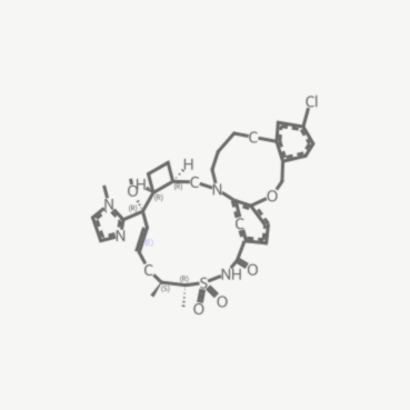 CO[C@@]1(c2nccn2C)/C=C/C[C@H](C)[C@@H](C)S(=O)(=O)NC(=O)c2ccc3c(c2)N(CCCCc2cc(Cl)ccc2CO3)C[C@@H]2CC[C@H]21